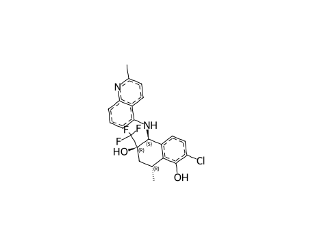 Cc1ccc2c(N[C@H]3c4ccc(Cl)c(O)c4[C@H](C)C[C@]3(O)C(F)(F)F)cccc2n1